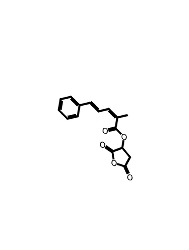 CC(=CC=Cc1ccccc1)C(=O)OC1CC(=O)OC1=O